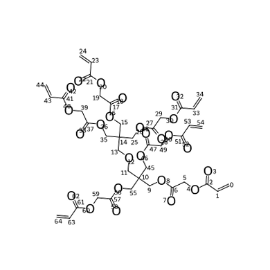 C=CC(=O)OCC(=O)OCC(COCC(COC(=O)COC(=O)C=C)(COC(=O)COC(=O)C=C)COC(=O)COC(=O)C=C)(COC(=O)COC(=O)C=C)COC(=O)COC(=O)C=C